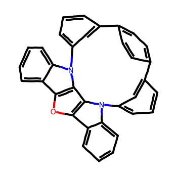 c1ccc2c(c1)c1oc3c4ccccc4n4c5cccc(c5)c5ccc(cc5)c5cccc(c5)n2c1c34